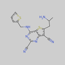 CC(N)Cc1sc2c(NCc3cccs3)nc(C#N)nc2c1C#N